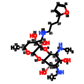 CN[C@@H]1[C@H](O)[C@H](NC)C2O[C@@]3(O)C(OC2[C@H]1O)O[C@H](C)C[C@@]3(O)CNCCCc1ccco1